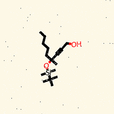 CCCCCC(C)(C#CCO)O[Si](C)(C)C(C)(C)C